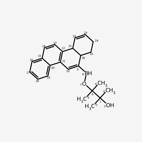 CC(C)(O)C(C)(C)OBC1=Cc2c(ccc3ccccc23)C2C=CCCC12